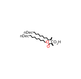 C=C(CCCCCCCCCCCCCCCCCC)C(=O)O.C=CC(=O)OCCCCCCCCCCCCCCCCCC